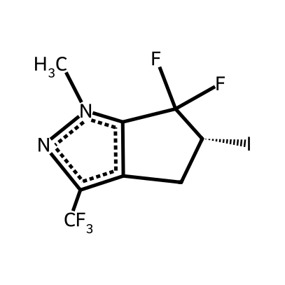 Cn1nc(C(F)(F)F)c2c1C(F)(F)[C@H](I)C2